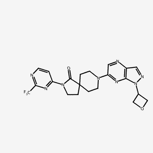 O=C1N(c2ccnc(C(F)(F)F)n2)CCC12CCN(c1cnc3cnn(C4COC4)c3n1)CC2